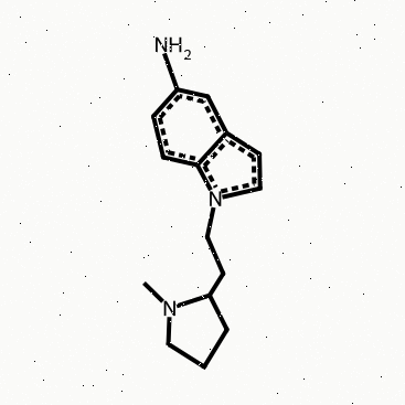 CN1CCCC1CCn1ccc2cc(N)ccc21